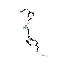 CCOC(=O)CCc1ccc(CCNS(=O)(=O)c2cccc(OC)c2)cc1